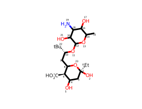 CC[C@]1(O)CC(O)[C@@H](C(=O)O)C(C[C@@H](OC2OC(C)C(O)C(N)C2O)C(C)(C)C)O1